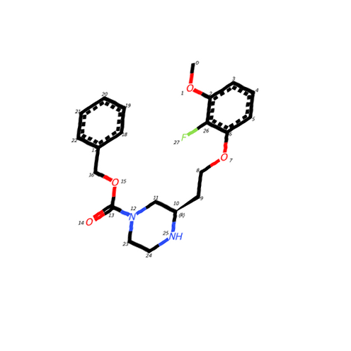 COc1cccc(OCC[C@@H]2CN(C(=O)OCc3ccccc3)CCN2)c1F